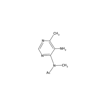 CC(=O)N(C)c1ncnc(C)c1N